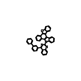 c1ccc(-c2cccc(-c3nc(-n4c5ccccc5c5c6c7ccccc7oc6c6ccccc6c54)nc4ccccc34)c2)cc1